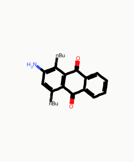 CCCCc1cc(N)c(CCCC)c2c1C(=O)c1ccccc1C2=O